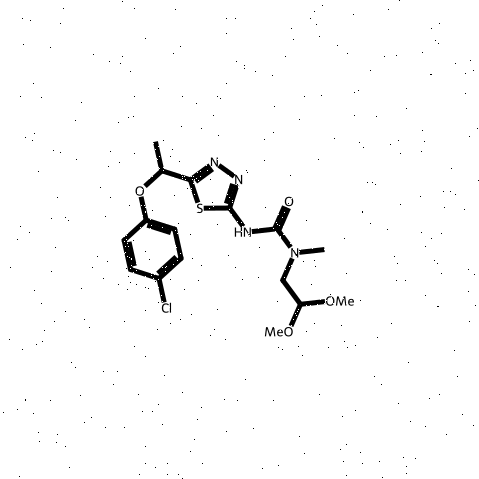 COC(CN(C)C(=O)Nc1nnc(C(C)Oc2ccc(Cl)cc2)s1)OC